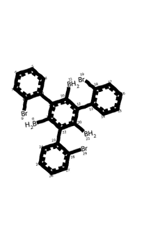 Bc1c(-c2ccccc2Br)c(B)c(-c2ccccc2Br)c(B)c1-c1ccccc1Br